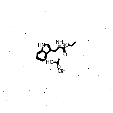 CC(=O)O.CCOC(=O)[C@@H](N)Cc1c[nH]c2ccccc12.Cl